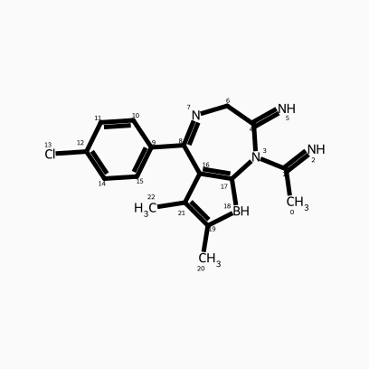 CC(=N)N1C(=N)CN=C(c2ccc(Cl)cc2)C2=C1BC(C)=C2C